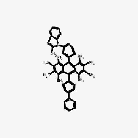 Bc1c(B)c(B)c2c(-c3cccc(-n4c(C)nc5ccccc54)c3)c3c(B)c(B)c(B)c(B)c3c(-c3ccc(-c4ccccc4)cc3)c2c1B